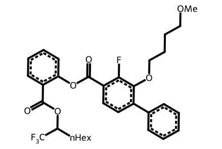 CCCCCCC(OC(=O)c1ccccc1OC(=O)c1ccc(-c2ccccc2)c(OCCCCOC)c1F)C(F)(F)F